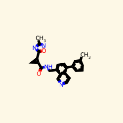 Cc1cccc(-c2ccc(CNC(=O)C3CC3c3nc(C)no3)c3cnccc23)c1